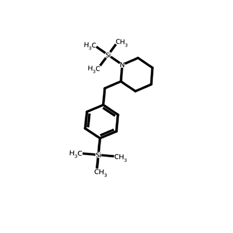 C[Si](C)(C)c1ccc(CC2CCCCN2[Si](C)(C)C)cc1